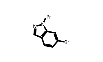 CC(C)n1ncc2ccc(Br)cc21